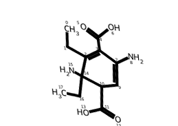 CCC1=C(C(=O)O)C(N)=CC(C(=O)O)C1(N)CC